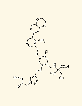 Cc1c(COc2cc(OCc3cnn(CC(=O)OC(C)(C)C)c3)c(CNC(C)(CO)C(=O)O)cc2Cl)cccc1-c1ccc2c(c1)OCCO2